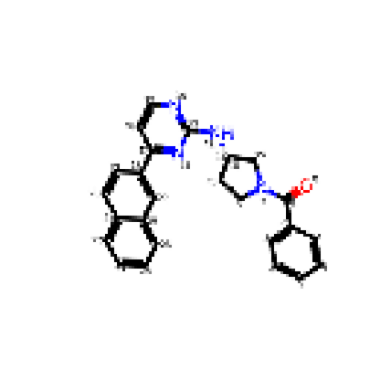 O=C(c1ccccc1)N1CC[C@H](Nc2nccc(-c3ccc4ccccc4c3)n2)C1